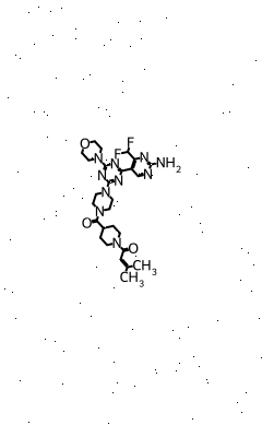 CC(C)=CC(=O)N1CCC(C(=O)N2CCN(c3nc(-c4cnc(N)nc4C(F)F)nc(N4CCOCC4)n3)CC2)CC1